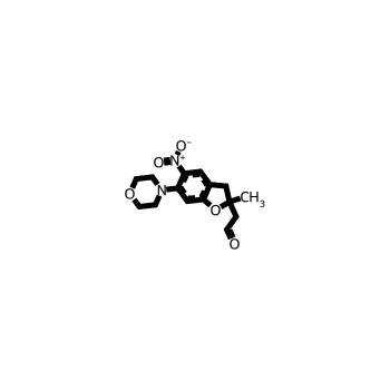 CC1(CC=O)Cc2cc([N+](=O)[O-])c(N3CCOCC3)cc2O1